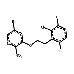 O=[N+]([O-])c1ncc(Br)cc1OCCc1c(Cl)ccc(F)c1Cl